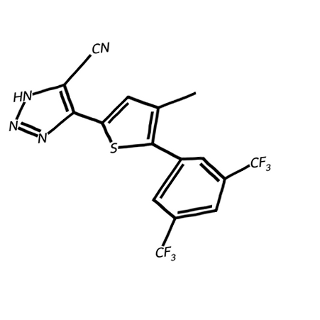 Cc1cc(-c2nn[nH]c2C#N)sc1-c1cc(C(F)(F)F)cc(C(F)(F)F)c1